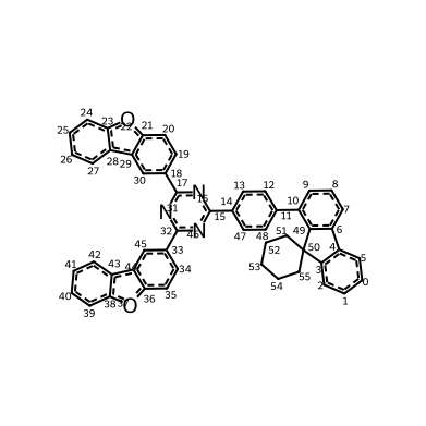 c1ccc2c(c1)-c1cccc(-c3ccc(-c4nc(-c5ccc6oc7ccccc7c6c5)nc(-c5ccc6oc7ccccc7c6c5)n4)cc3)c1C21CCCCC1